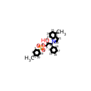 Cc1ccc(S(=O)(=O)OC[C@@H](O)[C@H](c2ccccc2)n2ccc3c(C)cccc32)cc1